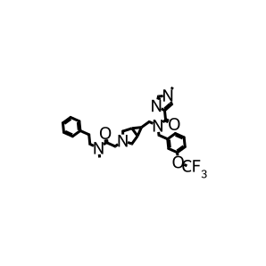 CN(CCc1ccccc1)C(=O)CN1CC2C(C1)C2CN(Cc1cccc(OC(F)(F)F)c1)C(=O)c1cn(C)cn1